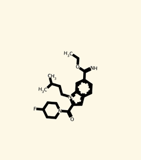 CCOC(=N)c1ccc2cc(C(=O)N3CCC(F)CC3)n(CCC(C)C)c2c1